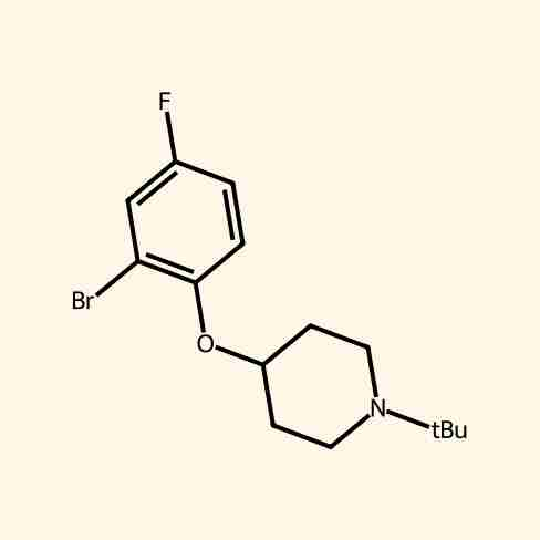 CC(C)(C)N1CCC(Oc2ccc(F)cc2Br)CC1